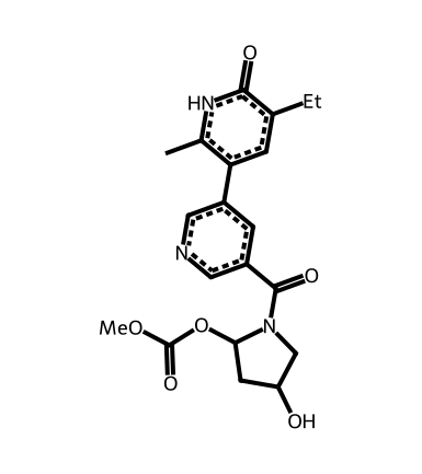 CCc1cc(-c2cncc(C(=O)N3CC(O)CC3OC(=O)OC)c2)c(C)[nH]c1=O